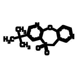 CC(C)(C)c1cnc2c(c1)S(=O)(=O)Cc1cnccc1O2